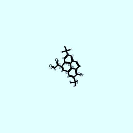 CC(C)(C)c1cc2ccc3c(Br)c(C(C)(C)C)cc4cc(C(=O)C=O)c(c1)c2c43